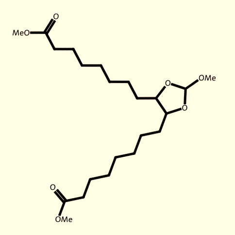 COC(=O)CCCCCCCC1OC(OC)OC1CCCCCCCC(=O)OC